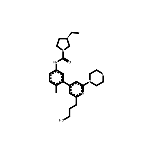 CC[C@@H]1CCN(C(=O)Nc2ccc(C)c(-c3cc(CCCO)nc(N4CCOCC4)c3)c2)C1